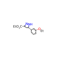 CCOC(=O)c1cc(-c2cccc(OCC)c2)[nH]n1